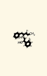 C=CC(I)C(Cc1ccccc1)NC[C@H](O)c1ccccc1I